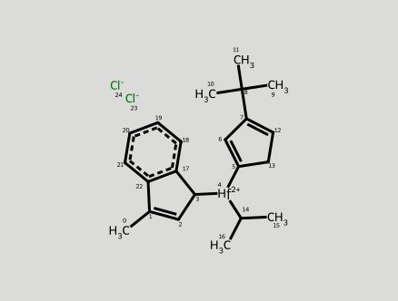 CC1=C[CH]([Hf+2]([C]2=CC(C(C)(C)C)=CC2)[CH](C)C)c2ccccc21.[Cl-].[Cl-]